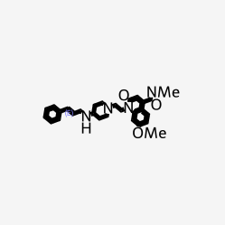 CNC(=O)c1cc(=O)n(CCN2CCC(NC/C=C/c3ccccc3)CC2)c2cc(OC)ccc12